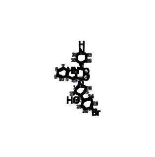 O=C(N/C(=C\c1ccccc1)C(=O)N1CCC(O)(c2ccc(Br)cc2)CC1)C1CCNCC1